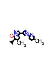 CC1=C(C2CC2)C(=O)n2ncc(-c3cnn(-c4ccc(C)cn4)c3)c2C1